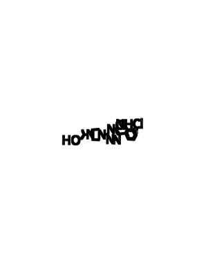 CC(CO)N1CCN(c2nnc(-c3cccc(Cl)c3Cl)c(N)n2)CC1